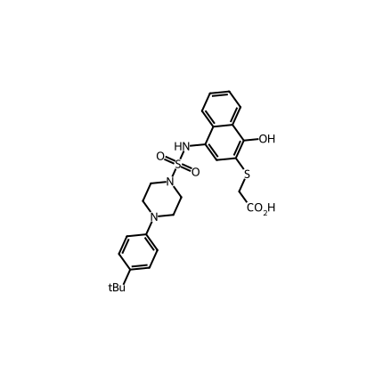 CC(C)(C)c1ccc(N2CCN(S(=O)(=O)Nc3cc(SCC(=O)O)c(O)c4ccccc34)CC2)cc1